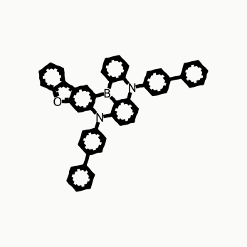 c1ccc(-c2ccc(N3c4ccccc4B4c5cc6c(cc5N(c5ccc(-c7ccccc7)cc5)c5cccc3c54)oc3ccccc36)cc2)cc1